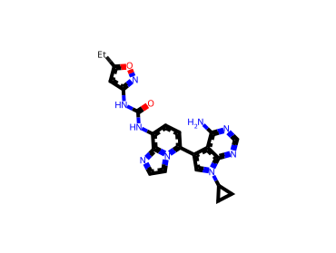 CCc1cc(NC(=O)Nc2ccc(-c3cn(C4CC4)c4ncnc(N)c34)n3ccnc23)no1